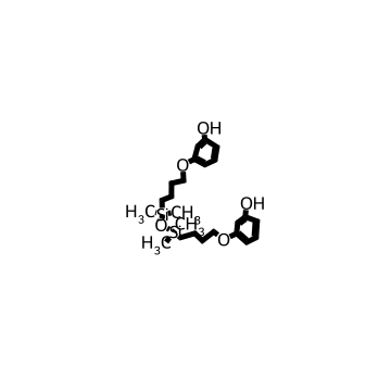 C[Si](C)(CCCCOc1cccc(O)c1)O[Si](C)(C)CCCCOc1cccc(O)c1